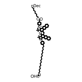 CCCCCCCCCCCCCCCCCCOC(=O)c1ccc([N+]2=c3c(c4c(c5cc6ccccc6cc35)=Cc3c(c5c(c6cc7ccccc7cc36)N(c3ccc(CCCCCCCCCCCCCCCCCCOC=O)cc3)CC5(C)C)O4)C(C)(C)C2)cc1